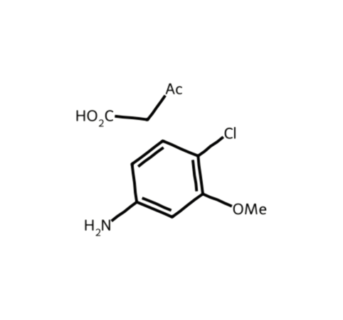 CC(=O)CC(=O)O.COc1cc(N)ccc1Cl